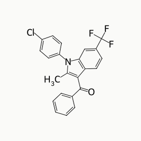 Cc1c(C(=O)c2ccccc2)c2ccc(C(F)(F)F)cc2n1-c1ccc(Cl)cc1